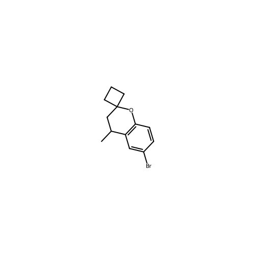 CC1CC2(CCC2)Oc2ccc(Br)cc21